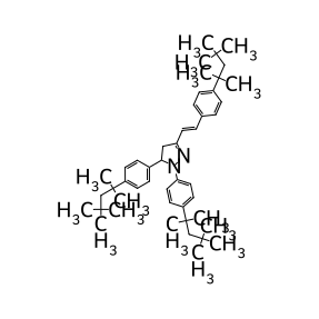 CC(C)(C)CC(C)(C)c1ccc(C=CC2=NN(c3ccc(C(C)(C)CC(C)(C)C)cc3)C(c3ccc(C(C)(C)CC(C)(C)C)cc3)C2)cc1